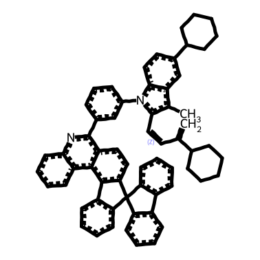 C=C(/C=C\c1c(C)c2cc(C3CCCCC3)ccc2n1-c1cccc(-c2nc3ccccc3c3c4c(ccc23)C2(c3ccccc3-c3ccccc32)c2ccccc2-4)c1)C1CCCCC1